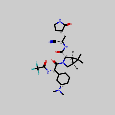 CN(C)[C@@H]1CCCC([C@H](NC(=O)C(F)(F)F)C(=O)N2C[C@H]3[C@@H]([C@H]2C(=O)N[C@H](C#N)C[C@@H]2CCNC2=O)C3(C)C)C1